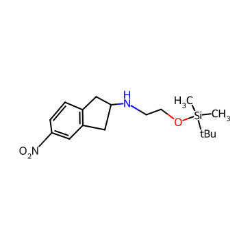 CC(C)(C)[Si](C)(C)OCCNC1Cc2ccc([N+](=O)[O-])cc2C1